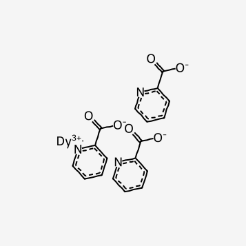 O=C([O-])c1ccccn1.O=C([O-])c1ccccn1.O=C([O-])c1ccccn1.[Dy+3]